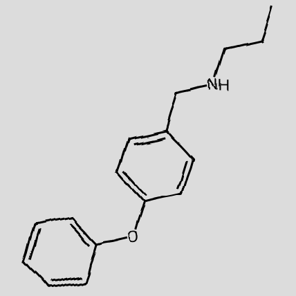 CCCNCc1ccc(Oc2ccccc2)cc1